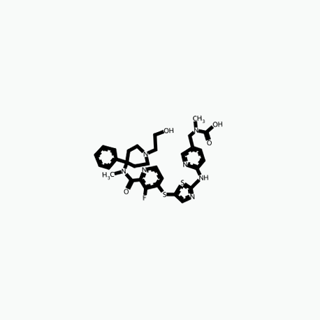 CN(Cc1ccc(Nc2ncc(Sc3ccnc(C(=O)N(C)C4(c5ccccc5)CCN(CCO)CC4)c3F)s2)nc1)C(=O)O